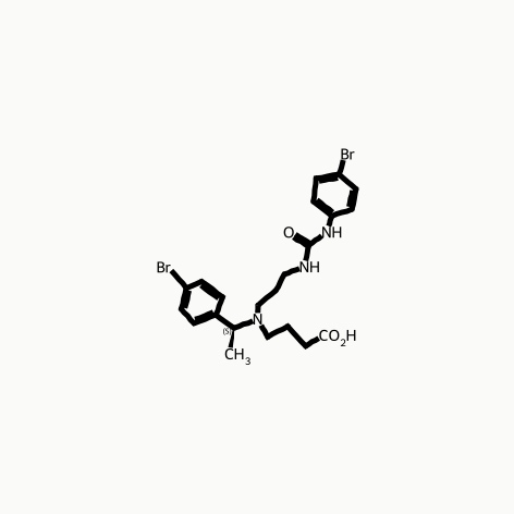 C[C@@H](c1ccc(Br)cc1)N(CCCNC(=O)Nc1ccc(Br)cc1)CCCC(=O)O